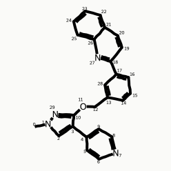 Cn1cc(-c2ccncc2)c(OCc2cccc(-c3ccc4ccccc4n3)c2)n1